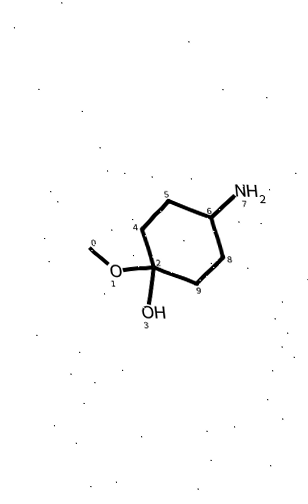 COC1(O)CCC(N)CC1